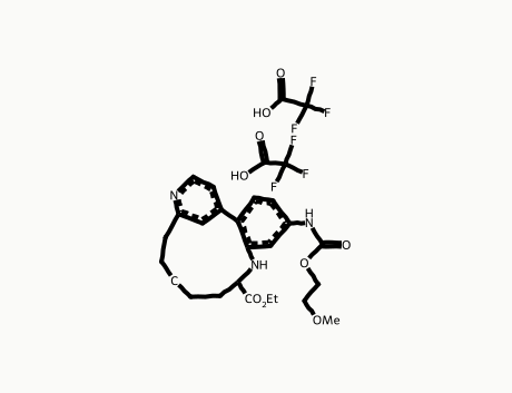 CCOC(=O)C1CCCCCc2cc(ccn2)-c2ccc(NC(=O)OCCOC)cc2N1.O=C(O)C(F)(F)F.O=C(O)C(F)(F)F